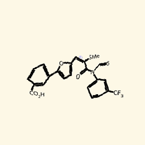 CS/C(=C/c1ccc(-c2cccc(C(=O)O)c2)o1)C(=O)N(C=S)c1cccc(C(F)(F)F)c1